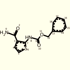 NC(=O)c1ccsc1NC(=O)OCc1ccccc1